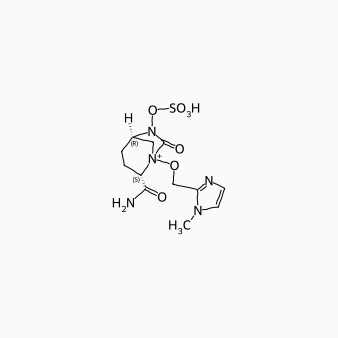 Cn1ccnc1CO[N+]12C[C@@H](CC[C@H]1C(N)=O)N(OS(=O)(=O)O)C2=O